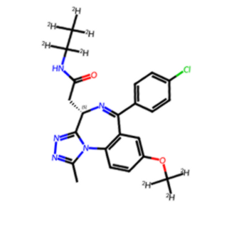 [2H]C([2H])([2H])Oc1ccc2c(c1)C(c1ccc(Cl)cc1)=N[C@@H](CC(=O)NC([2H])([2H])C([2H])([2H])[2H])c1nnc(C)n1-2